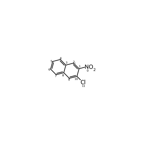 O=[N+]([O-])c1[c]c2ccccc2cc1Cl